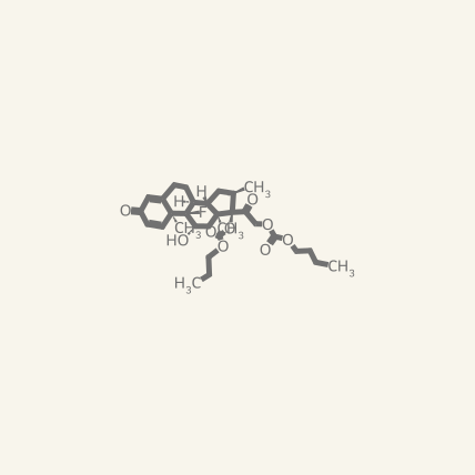 CCCCOC(=O)OCC(=O)[C@@]1(OC(=O)OCCC)[C@H](C)C[C@H]2[C@@H]3CCC4=CC(=O)C=C[C@]4(C)[C@@]3(F)[C@@H](O)C[C@@]21C